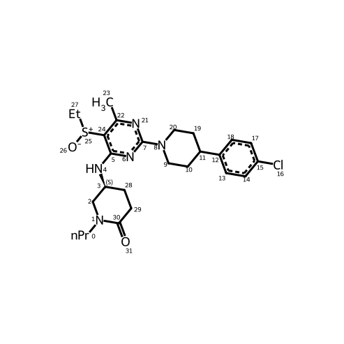 CCCN1C[C@@H](Nc2nc(N3CCC(c4ccc(Cl)cc4)CC3)nc(C)c2[S+]([O-])CC)CCC1=O